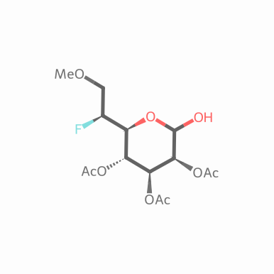 COC[C@H](F)[C@H]1OC(O)[C@@H](OC(C)=O)[C@@H](OC(C)=O)[C@@H]1OC(C)=O